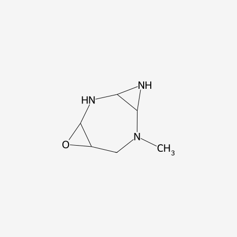 CN1CC2OC2NC2NC21